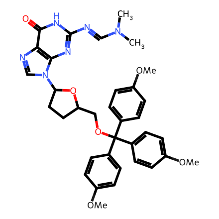 COc1ccc(C(OCC2CCC(n3cnc4c(=O)[nH]c(N=CN(C)C)nc43)O2)(c2ccc(OC)cc2)c2ccc(OC)cc2)cc1